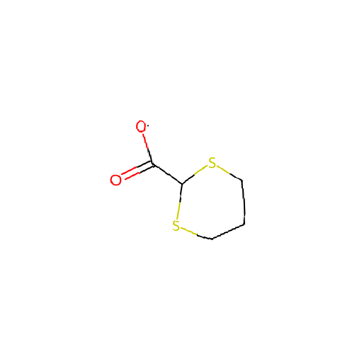 [O]C(=O)C1SCCCS1